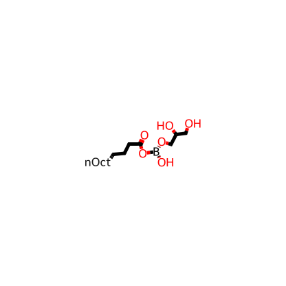 CCCCCCCCCCCC(=O)OB(O)OCC(O)CO